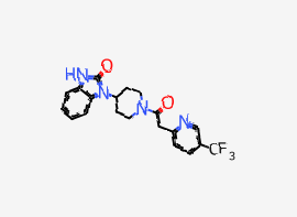 O=C(Cc1ccc(C(F)(F)F)cn1)N1CCC(n2c(=O)[nH]c3ccccc32)CC1